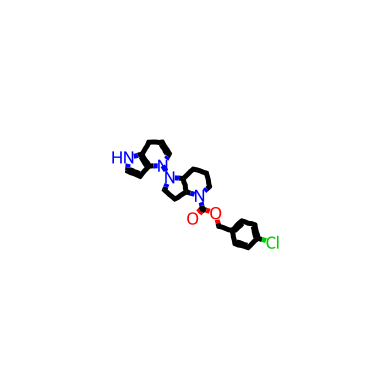 O=C(OCc1ccc(Cl)cc1)N1CCCC2C1CCN2N1C=CCc2[nH]ccc21